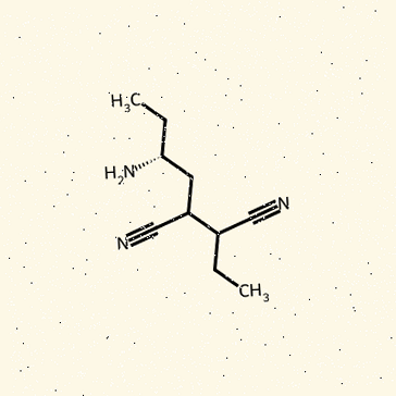 CCC(C#N)C(C#N)C[C@H](N)CC